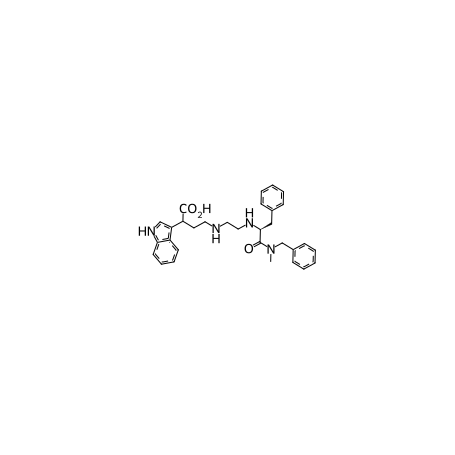 CN(Cc1ccccc1)C(=O)[C@H](Cc1ccccc1)NCCNCCC(C(=O)O)c1c[nH]c2ccccc12